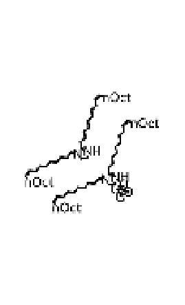 CCCCCCCC/C=C\CCCCCCCCC1=[N+](CCCCCCCC/C=C\CCCCCCCC)CCN1.CCCCCCCC/C=C\CCCCCCCCC1=[N+](CCCCCCCC/C=C\CCCCCCCC)CCN1.O=S(=O)([O-])[O-]